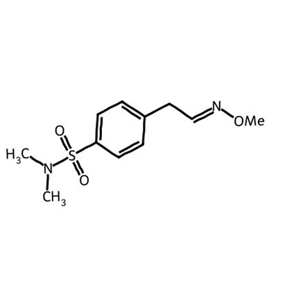 CON=CCc1ccc(S(=O)(=O)N(C)C)cc1